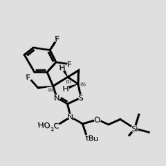 CC(C)(C)C(OCC[Si](C)(C)C)N(C(=O)O)C1=N[C@](CF)(c2cccc(F)c2F)[C@@H]2C[C@@H]2S1